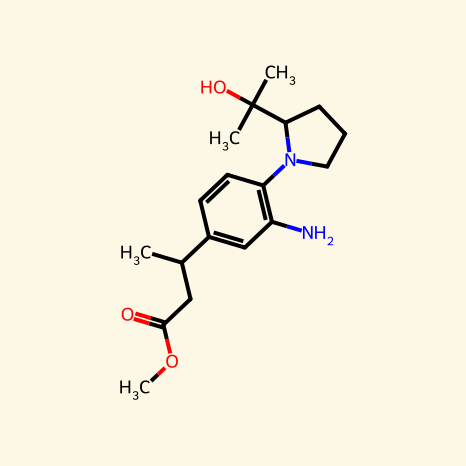 COC(=O)CC(C)c1ccc(N2CCCC2C(C)(C)O)c(N)c1